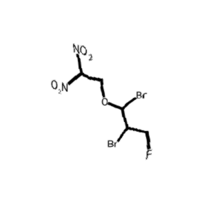 O=[N+]([O-])C(COC(Br)C(Br)CF)[N+](=O)[O-]